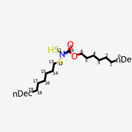 CCCCCCCCCCCCCCCCOC(=O)N(S)SCCCCCCCCCCCCCCCC